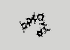 CCC(CC(C)(C)N1C[C@H](C)O[C@@H](C)C1)C(C#N)C(=O)N1CCCC[C@@H](OC(=O)N[C@@H](Cc2ccccc2)B(O)O)C1